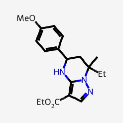 CCOC(=O)c1cnn2c1NC(c1ccc(OC)cc1)CC2(C)CC